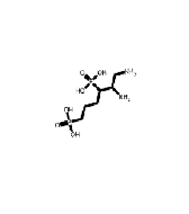 NCC(N)C(CCCP(=O)(O)O)P(=O)(O)O